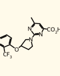 Cc1cc(C(=O)O)nc(N2CCC(Oc3ccccc3C(F)(F)F)C2)n1